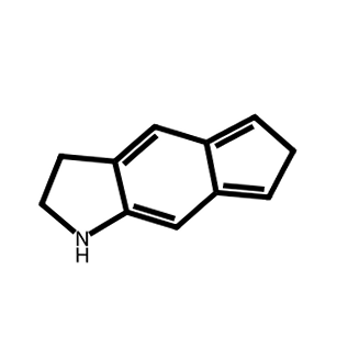 C1=c2cc3c(cc2=CC1)NCC3